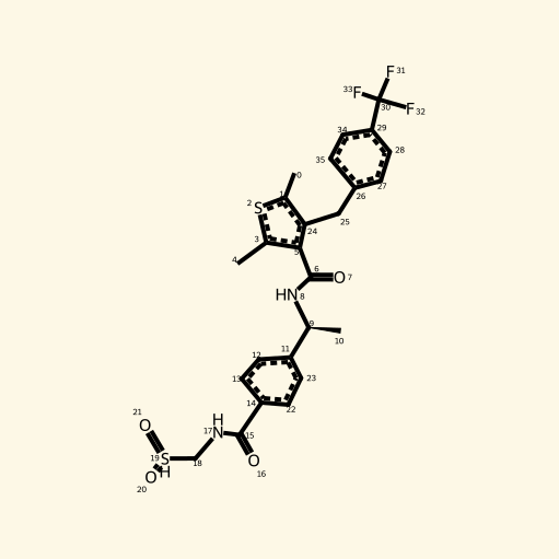 Cc1sc(C)c(C(=O)N[C@@H](C)c2ccc(C(=O)NC[SH](=O)=O)cc2)c1Cc1ccc(C(F)(F)F)cc1